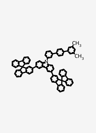 Cc1cc(C)cc(-c2ccc(-c3cccc(-n4c5ccc(-c6ccc7c(c6)C6(c8ccccc8-c8ccccc86)c6ccccc6-7)cc5c5cc(-c6ccc7c(c6)C6(c8ccccc8-c8ccccc86)c6ccccc6-7)ccc54)c3)cc2)c1